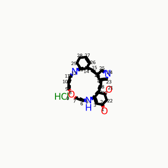 Cl.O=C1C=c2[nH]ccocccnc3c(cc4c(cc2C(=O)C1)=CN=C4)C=CCC3